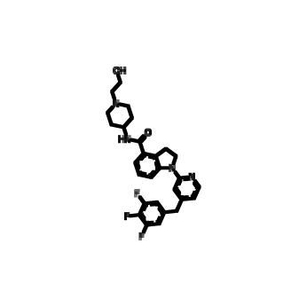 O=C(NC1CCN(CCO)CC1)c1cccc2c1CCN2c1cc(Cc2cc(F)c(F)c(F)c2)ccn1